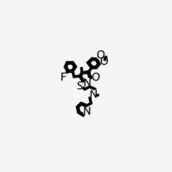 Cc1c(Cc2ccccc2F)c2n(c(=O)c1-c1ccc3c(c1)OCO3)C(CN(C)CCc1ccccn1)CS2